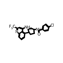 Nc1cc(C(F)(F)F)nc2cccc(C3CCC(NC(=O)c4ccc(Cl)cc4)CC3)c12